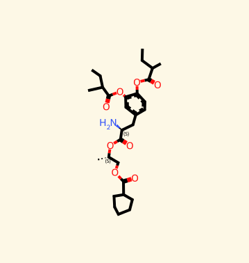 CCC(C)C(=O)Oc1ccc(C[C@H](N)C(=O)O[C@@H](C)COC(=O)C2CCCCC2)cc1OC(=O)C(C)CC